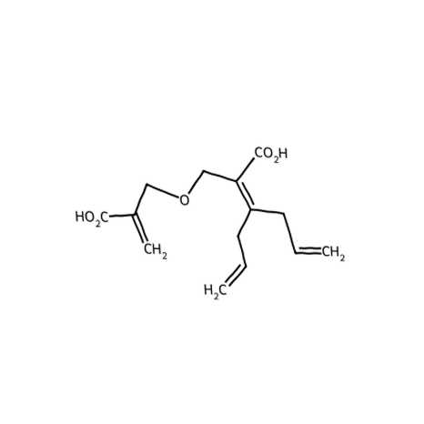 C=CCC(CC=C)=C(COCC(=C)C(=O)O)C(=O)O